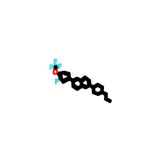 CCCC1CCC(c2ccc3cc(-c4ccc(OC(F)(F)F)c(F)c4)ccc3c2)CC1